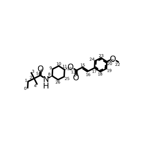 CCC(C)(C)C(=O)N[C@H]1CC[C@H](OC(=O)/C=C/c2ccc(OC)cc2)CC1